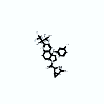 O=C1NC(C(=O)N2CCC3(Sc4cccc(F)c4)c4ccc(C(F)(C(F)(F)F)C(F)(F)F)nc4CCC23)C2CC12